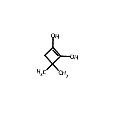 CC1(C)CC(O)=C1O